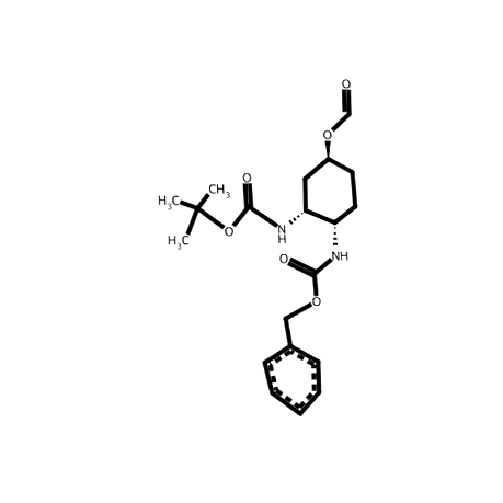 CC(C)(C)OC(=O)N[C@@H]1C[C@@H](OC=O)CC[C@@H]1NC(=O)OCc1ccccc1